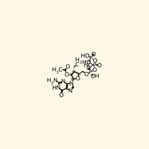 CC[C@H]1[C@@H](OC(C)=O)[C@H](n2cnc3c(=O)[nH]c(N)nc32)O[C@@H]1COP(=O)(O)OP(=O)(O)OP(=O)(O)O